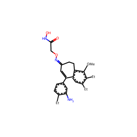 CCc1ccc(C2=C/C(=N/OCC(=O)NO)CCc3c2cc(CC)c(CC)c3OC)cc1N